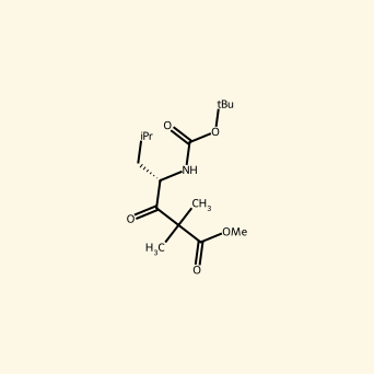 COC(=O)C(C)(C)C(=O)[C@H](CC(C)C)NC(=O)OC(C)(C)C